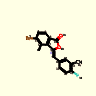 Cc1c(Br)ccc2c1/C(=C/c1ccc(F)c(C#N)c1)OC2=O